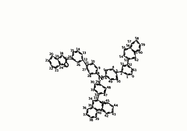 c1cc(-c2ccc(N(c3ccc(-c4cccc(-c5cc6ccccc6o5)c4)cc3)c3ccc(-c4cc5ccccc5c5ccccc45)cc3)cc2)cc(-c2ccc3ccccc3c2)c1